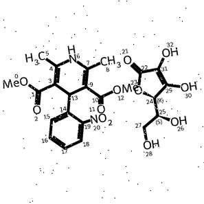 COC(=O)C1=C(C)NC(C)=C(C(=O)OC)C1c1ccccc1[N+](=O)[O-].O=C1O[C@H]([C@@H](O)CO)C(O)=C1O